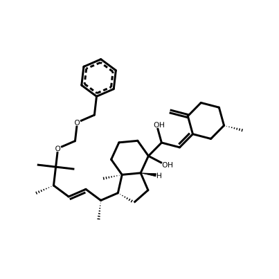 C=C1CC[C@H](C)C/C1=C/C(O)C1(O)CCC[C@]2(C)[C@@H]([C@H](C)/C=C/[C@H](C)C(C)(C)OCOCc3ccccc3)CC[C@@H]12